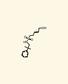 CC(C)(CNS(=O)(=O)CC/C=C/CO)c1ccccc1